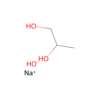 CC(O)CO.[Na+].[OH-]